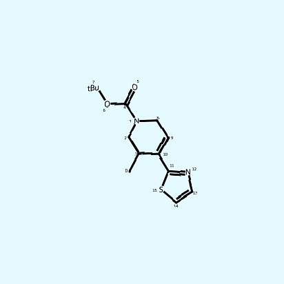 CC1CN(C(=O)OC(C)(C)C)CC=C1c1nccs1